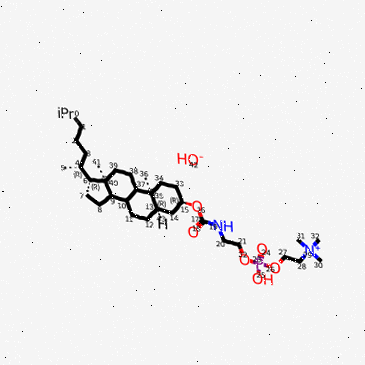 CC(C)CCC[C@@H](C)[C@H]1CCC2C3CC[C@@H]4C[C@H](OC(=O)NCCOP(=O)(O)OCC[N+](C)(C)C)CC[C@]4(C)C3CC[C@@]21C.[OH-]